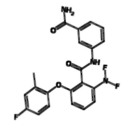 Cc1cc(F)ccc1Oc1cccc(N(F)F)c1C(=O)Nc1cccc(C(N)=O)c1